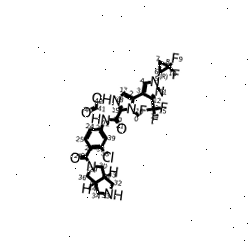 Cn1c(-c2cn([C@@H]3CC3(F)F)nc2C(F)(F)F)cnc1C(=O)Nc1ccc(C(=O)N2C[C@H]3CNC[C@@H]3C2)c(Cl)c1.O=CO